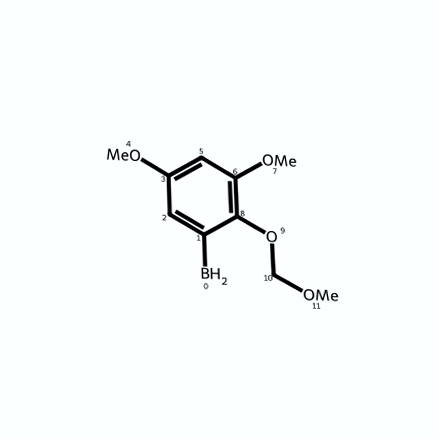 Bc1cc(OC)cc(OC)c1OCOC